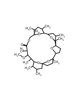 CCC12CCC(O1)C1(C)CCC3(CC(C)C(C)C(O3)C(C)C(OC)C(C)C(=O)OCC3(C)OC(C(C)CC3C)C3CC(C)C2O3)O1